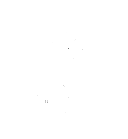 CCOC(=O)[C@H](C)NP(=O)(OC[C@H]1C[C@@H](n2cnc3c(OC)nc(N)nc32)C1)Oc1ccccc1